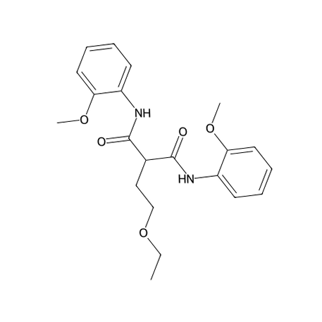 CCOCCC(C(=O)Nc1ccccc1OC)C(=O)Nc1ccccc1OC